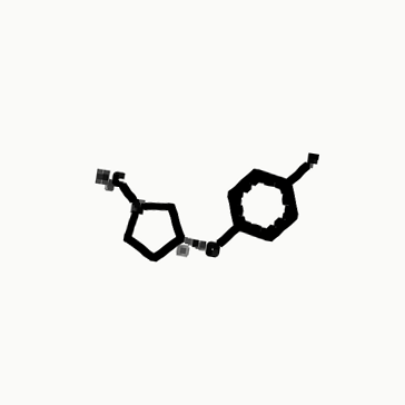 CN1CC[C@@H](Oc2ccc(F)cc2)C1